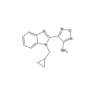 Nc1nonc1-c1nc2ccccc2n1CC1CC1